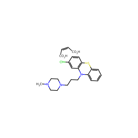 CN1CCN(CCCN2c3ccccc3Sc3ccc(Cl)cc32)CC1.O=C(O)/C=C\C(=O)O